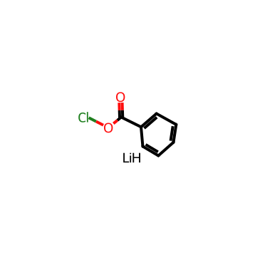 O=C(OCl)c1ccccc1.[LiH]